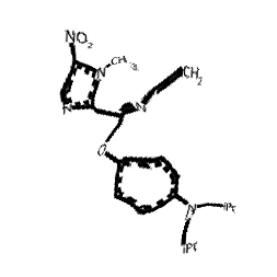 C=CN=C(Oc1ccc(N(C(C)C)C(C)C)cc1)c1ncc([N+](=O)[O-])n1C